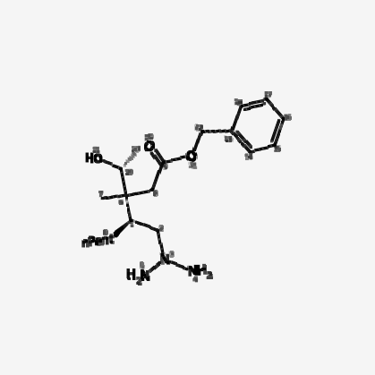 CCCCC[C@H](CN(N)N)C(C)(CC(=O)OCc1ccccc1)[C@@H](C)O